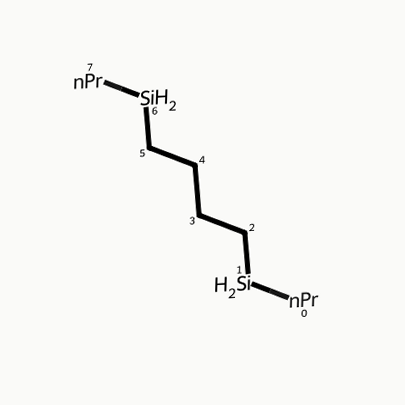 CCC[SiH2]CCCC[SiH2]CCC